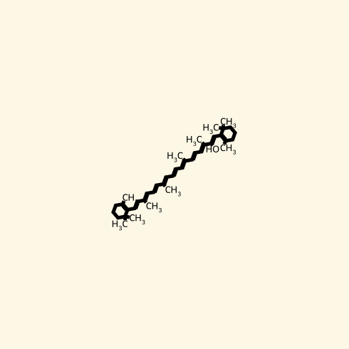 CC1=C(/C=C(O)/C(C)=C/C=C/C(C)=C/C=C/C=C(C)/C=C/C=C(C)/C=C/C2=C(C)CCCC2(C)C)C(C)(C)CCC1